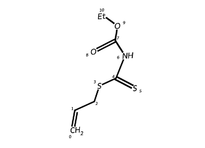 C=CCSC(=S)NC(=O)OCC